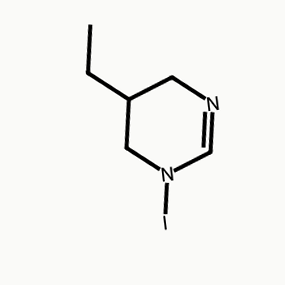 CCC1CN=CN(I)C1